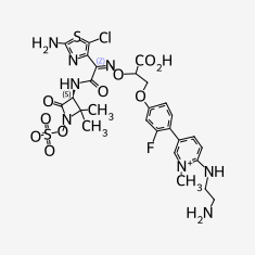 C[n+]1cc(-c2ccc(OCC(O/N=C(\C(=O)N[C@@H]3C(=O)N(OS(=O)(=O)[O-])C3(C)C)c3nc(N)sc3Cl)C(=O)O)cc2F)ccc1NCCN